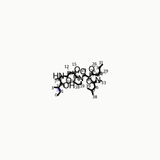 C/C=C(\C)[C@H](O)[C@@H](C)NC(=O)[C@H](C)[C@@H](OC)[C@@H]1CCCN1C(=O)C[C@@H](OC)[C@H]([C@@H](C)CC)N(C)C(=O)CC(C)C